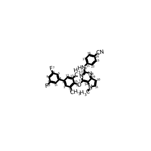 Cc1cc(-c2cc(F)cc(F)c2)cc(C)c1Oc1nc(Nc2ccc(C#N)cc2)nc2ccn(C)c12